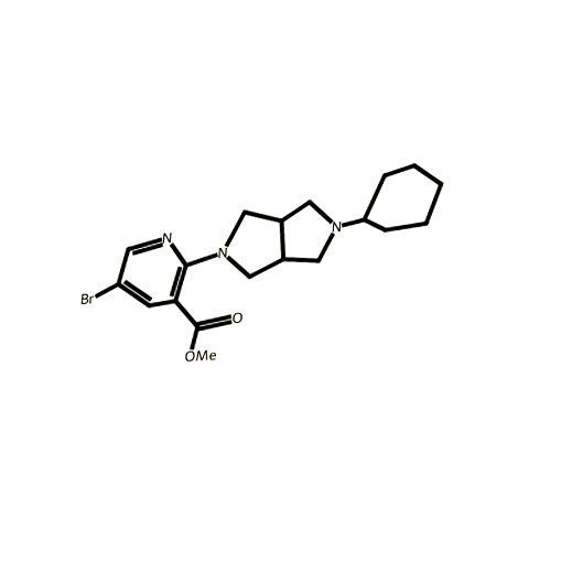 COC(=O)c1cc(Br)cnc1N1CC2CN(C3CCCCC3)CC2C1